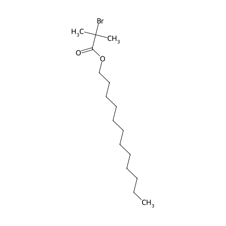 CCCCCCCCCCCCOC(=O)C(C)(C)Br